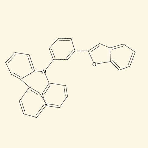 c1ccc(-c2ccccc2N(c2ccccc2)c2cccc(-c3cc4ccccc4o3)c2)cc1